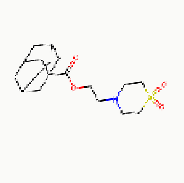 O=C(OCCN1CCS(=O)(=O)CC1)C12CC3CC(CC(C3)C1)C2